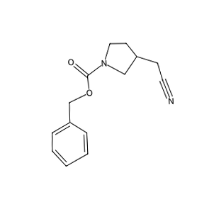 N#CCC1CCN(C(=O)OCc2ccccc2)C1